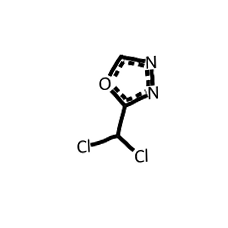 ClC(Cl)c1nnco1